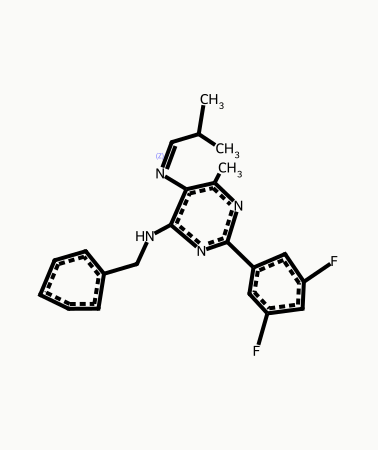 Cc1nc(-c2cc(F)cc(F)c2)nc(NCc2ccccc2)c1/N=C\C(C)C